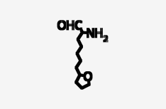 NC(C=O)CCCCCC1CCCO1